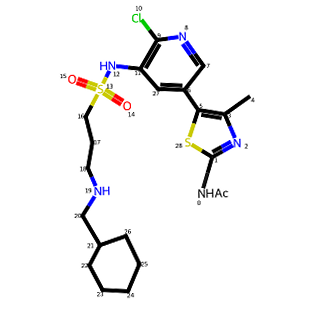 CC(=O)Nc1nc(C)c(-c2cnc(Cl)c(NS(=O)(=O)CCCNCC3CCCCC3)c2)s1